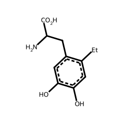 CCc1cc(O)c(O)cc1CC(N)C(=O)O